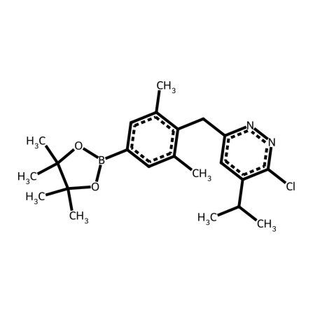 Cc1cc(B2OC(C)(C)C(C)(C)O2)cc(C)c1Cc1cc(C(C)C)c(Cl)nn1